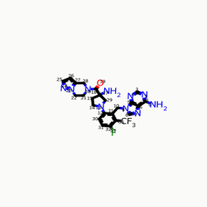 Nc1ncnc2c1ncn2Cc1c(N2CCC(N)(C(=O)N3CCn4nccc4C3)C2)ccc(F)c1C(F)(F)F